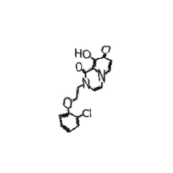 O=c1ccn2ccn(CCOc3ccccc3Cl)c(=O)c2c1O